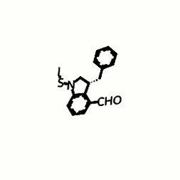 O=Cc1cccc2c1[C@@H](Cc1ccccc1)CN2SI